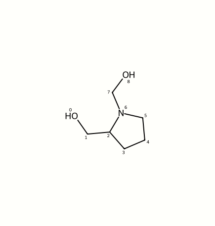 OCC1CCCN1CO